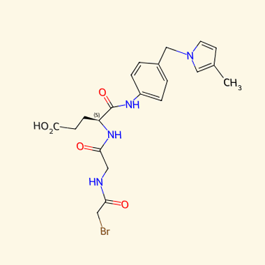 Cc1ccn(Cc2ccc(NC(=O)[C@H](CCC(=O)O)NC(=O)CNC(=O)CBr)cc2)c1